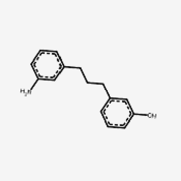 Nc1cccc(CCCc2cccc(O)c2)c1